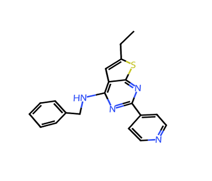 CCc1cc2c(NCc3ccccc3)nc(-c3ccncc3)nc2s1